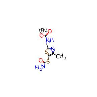 Cc1nc(CNC(=O)OC(C)(C)C)sc1SC(N)=O